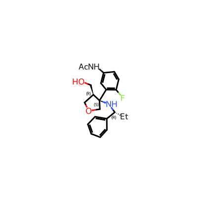 CC[C@@H](N[C@@]1(c2cc(NC(C)=O)ccc2F)COC[C@H]1CO)c1ccccc1